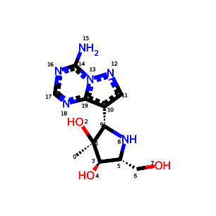 C[C@@]1(O)[C@H](O)[C@@H](CO)N[C@H]1c1cnn2c(N)ncnc12